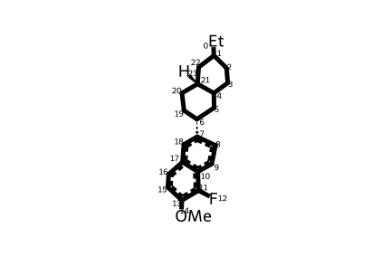 CCC1CCC2C[C@H](c3ccc4c(F)c(OC)ccc4c3)CC[C@@H]2C1